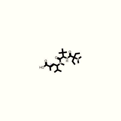 CCC(CC)(C(=O)NC(C(=O)N(C)C(/C=C(\C)C(=O)O)C(C)C)C(C)(C)C)N(C)C